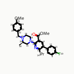 COC(=O)c1cc(-c2ccc(F)cc2)c(C(C)C)nc1N1CCN(Cc2ccc(OC)cc2)[C@H](C)C1